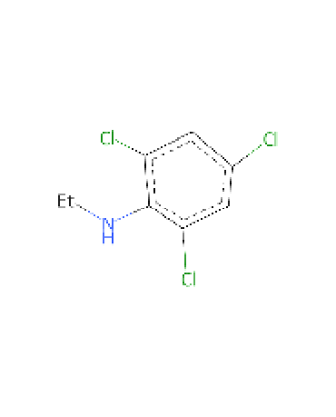 CCNc1c(Cl)cc(Cl)cc1Cl